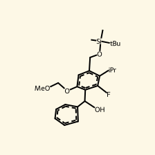 COCOc1cc(CO[Si](C)(C)C(C)(C)C)c(C(C)C)c(F)c1C(O)c1ccccc1